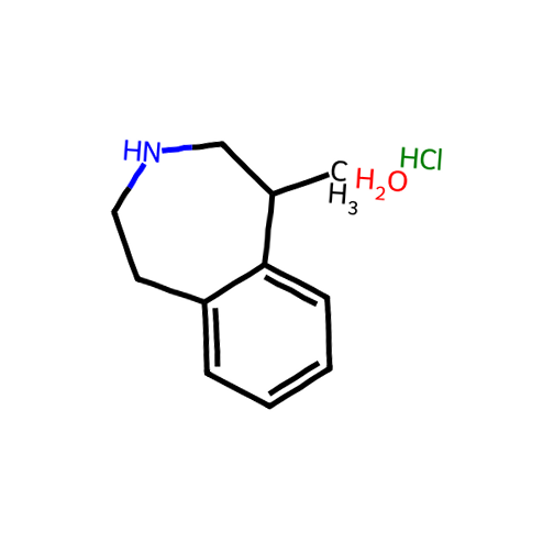 CC1CNCCc2ccccc21.Cl.O